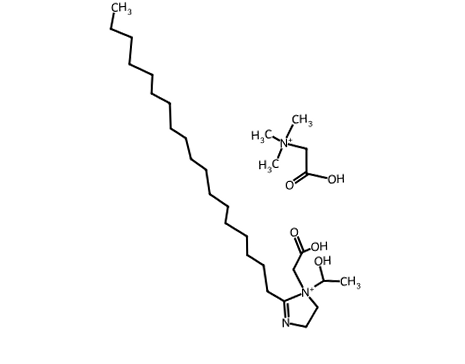 CCCCCCCCCCCCCCCCCCC1=NCC[N+]1(CC(=O)O)C(C)O.C[N+](C)(C)CC(=O)O